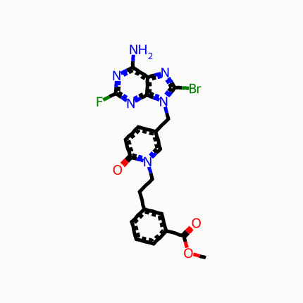 COC(=O)c1cccc(CCn2cc(Cn3c(Br)nc4c(N)nc(F)nc43)ccc2=O)c1